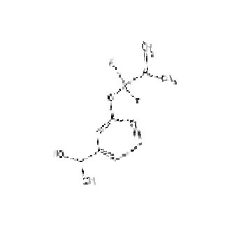 C=C(C)C(F)(F)Oc1cccc(C(O)O)c1